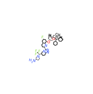 C[C@H](CO[Si](c1ccccc1)(c1ccccc1)C(C)(C)C)Oc1cc(F)cc2ccc(-c3nnc4ccc([C@@H](N5CC[C@H](N)C5)C(F)(F)F)cn34)nc12